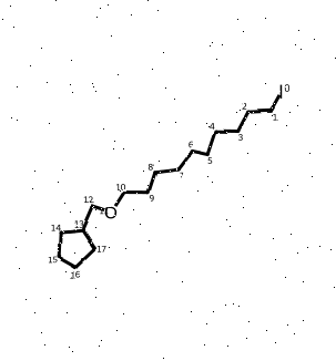 ICCCCCCCCCCOCC1CCCC1